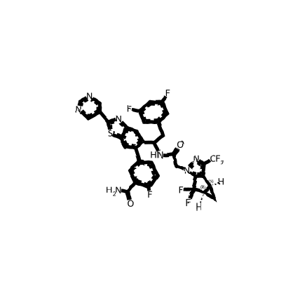 NC(=O)c1cc(-c2cc3sc(-c4cncnc4)nc3cc2C(Cc2cc(F)cc(F)c2)NC(=O)Cn2nc(C(F)(F)F)c3c2C(F)(F)[C@@H]2C[C@H]32)ccc1F